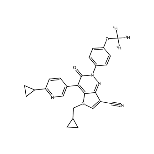 [2H]C([2H])([2H])Oc1ccc(-n2nc3c(C#N)cn(CC4CC4)c3c(-c3ccc(C4CC4)nc3)c2=O)cc1